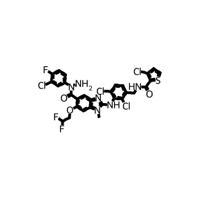 Cn1c(Nc2c(Cl)ccc(CNC(=O)c3sccc3Cl)c2Cl)nc2cc(C(=O)N(N)c3ccc(F)c(Cl)c3)c(OCC(F)F)cc21